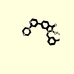 Cn1c(=O)c2ccc(-c3ccnc(N4CCOCC4)c3)cc2n1Cc1cccc(F)c1